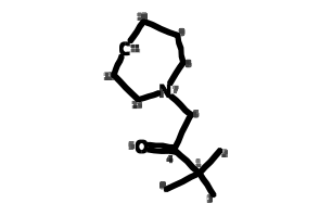 CC(C)(C)C(=O)CN1CCCCCC1